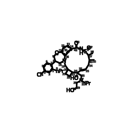 CCCc1cc(Cl)ccc1C1COc2ccc3cc2N(C1)CC1CCC1[C@](O)(CN(CCO)C(C)C)/C=C/CC(C)C(C)[S+]([O-])NC3=O